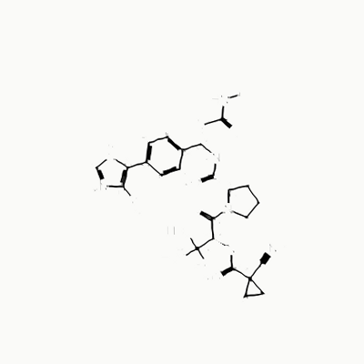 CNC(=O)C[C@H](NC(=O)[C@@H]1CCCN1C(=O)[C@@H](NC(=O)C1(C#N)CC1)C(C)(C)C)c1ccc(-c2scnc2C)cc1